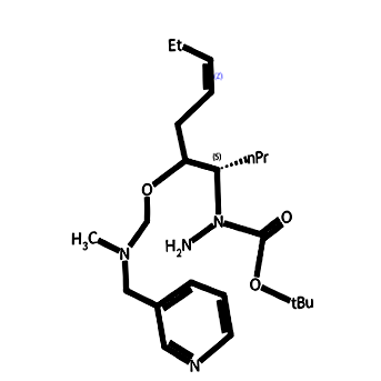 CC/C=C\CC(OCN(C)Cc1cccnc1)[C@H](CCC)N(N)C(=O)OC(C)(C)C